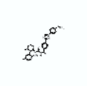 CCCc1ccc(C)cc1N1/C(=N/C(=O)NC(C)c2ccc(-c3ncn(-c4ccc(OC(F)(F)F)cc4)n3)cc2)SCCC1C